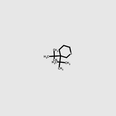 CC(C)(C)C1(C(C)(C)C)CCCSC1